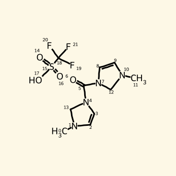 CN1C=CN(C(=O)N2C=CN(C)C2)C1.O=S(=O)(O)C(F)(F)F